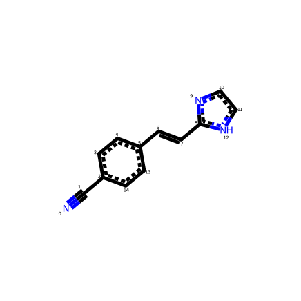 N#Cc1ccc(C=Cc2ncc[nH]2)cc1